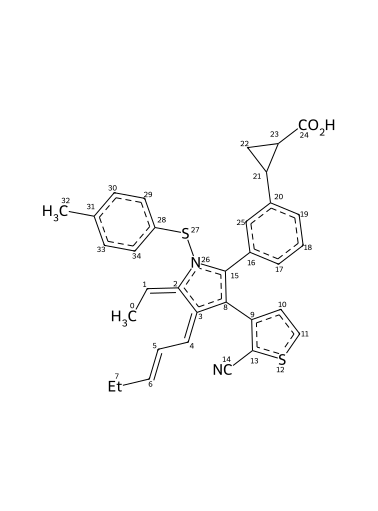 C\C=c1/c(=C\C=C\CC)c(-c2ccsc2C#N)c(-c2cccc(C3CC3C(=O)O)c2)n1Sc1ccc(C)cc1